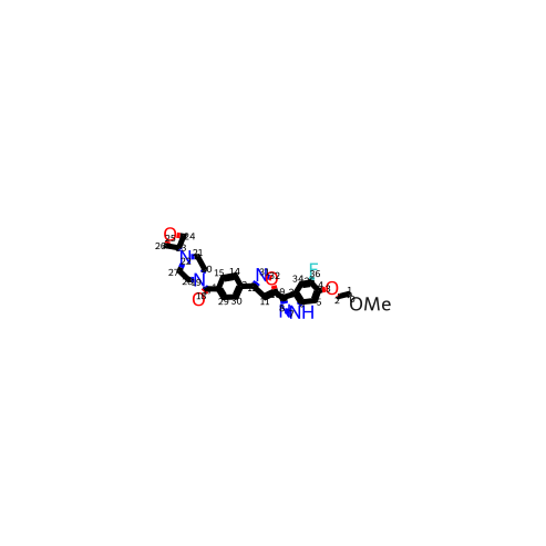 COCCOc1cc2[nH]nc(-c3cc(-c4ccc(C(=O)N5CCN(C6COC6)CC5)cc4)no3)c2cc1F